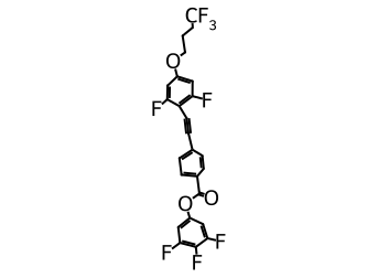 O=C(Oc1cc(F)c(F)c(F)c1)c1ccc(C#Cc2c(F)cc(OCCCC(F)(F)F)cc2F)cc1